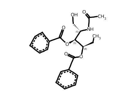 CC[C@@H](OC(=O)c1ccccc1)[C@@H](OC(=O)c1ccccc1)[C@H](CO)NC(C)=O